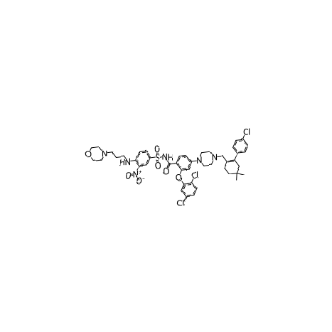 CC1(C)CCC(CN2CCN(c3ccc(C(=O)NS(=O)(=O)c4ccc(NCCCN5CCOCC5)c([N+](=O)[O-])c4)c(Oc4cc(Cl)ccc4Cl)c3)CC2)=C(c2ccc(Cl)cc2)C1